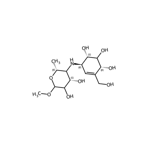 COC1O[C@H](C)C(N[C@@H]2C=C(CO)[C@@H](O)C(O)[C@H]2O)[C@H](O)C1O